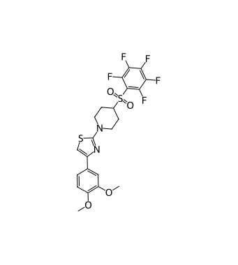 COc1ccc(-c2csc(N3CCC(S(=O)(=O)c4c(F)c(F)c(F)c(F)c4F)CC3)n2)cc1OC